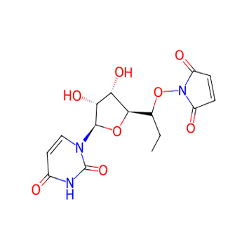 CCC(ON1C(=O)C=CC1=O)[C@H]1O[C@@H](n2ccc(=O)[nH]c2=O)[C@H](O)[C@@H]1O